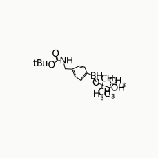 CC(C)(C)OC(=O)NCc1ccc(BOC(C)(C)C(C)(C)O)cc1